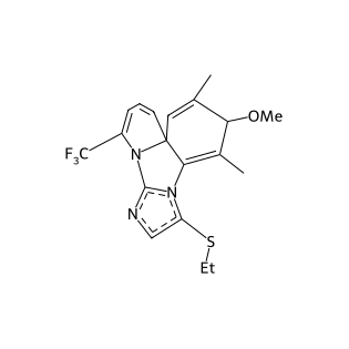 CCSc1cnc2n1C1=C(C)C(OC)C(C)=CC13C=CC=C(C(F)(F)F)N23